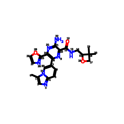 Cc1cnc2ccc(-c3nc(C(=O)NCC4OCC4(C)C)c(N)nc3-c3ncco3)cn12